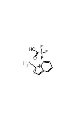 Nc1ncc2ccccn12.O=C(O)C(F)(F)F